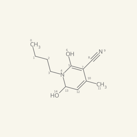 CCCCN1C(O)=C(C#N)C(C)=CC1O